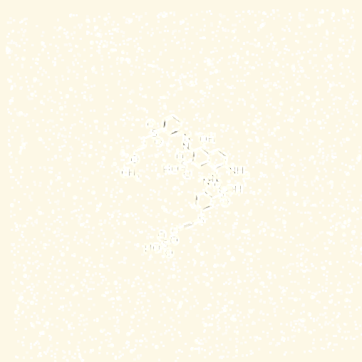 CCOCCCS(=O)(=O)c1cccc(N=Nc2c(S(=O)(=O)O)cc3c(N=Nc4ccc(SC#COOS(=O)(=O)O)cc4S(=O)(=O)O)c(N)ccc3c2O)c1